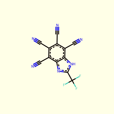 N#Cc1c(C#N)c(C#N)c2[nH]c(C(F)(F)F)nc2c1C#N